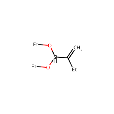 C=C(CC)[SiH](OCC)OCC